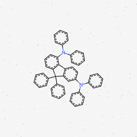 c1ccc(N(c2ccccc2)c2ccc3c(c2)C(c2ccccc2)(c2ccccc2)c2cccc(N(c4ccccc4)c4ccccc4)c2-3)cc1